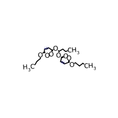 CCCCOC(=O)/C=C\C(=O)OC(CCC)OC(=O)/C=C\C(=O)OCCCC